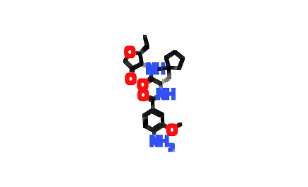 CC[C@@H]1OCC(=O)[C@H]1NC(=O)[C@H](CC1(C)CCCC1)NC(=O)c1ccc(N)c(OC)c1